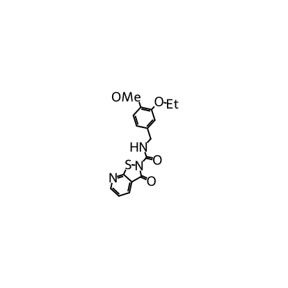 CCOc1cc(CNC(=O)n2sc3ncccc3c2=O)ccc1OC